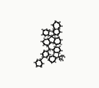 CC1(C)c2ccccc2-c2c(N(c3ccc(-c4ccccc4)cc3)c3cccc4c3-c3ccccc3C43c4ccccc4-c4c3ccc3ccccc43)cccc21